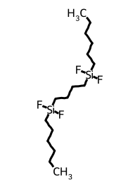 CCCCCC[Si](F)(F)CCCC[Si](F)(F)CCCCCC